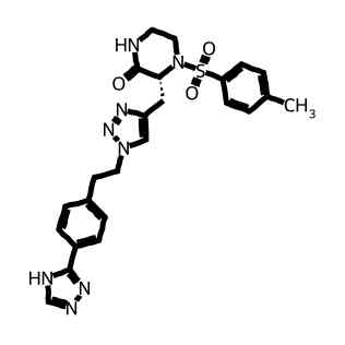 Cc1ccc(S(=O)(=O)N2CCNC(=O)[C@H]2Cc2cn(CCc3ccc(-c4nnc[nH]4)cc3)nn2)cc1